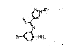 C=C/C(=N\c1cc(Br)ccc1N)c1cnn(C(C)C)c1